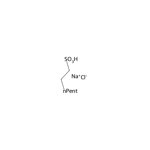 CCCCCCCS(=O)(=O)O.[Cl-].[Na+]